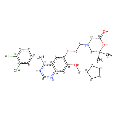 CC1(C)CN(CCOc2cc3c(Nc4ccc(F)c(Cl)c4)ncnc3cc2OCC2CCCC2)CC(=O)O1